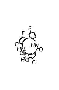 O=C1NCc2ccc(F)cc2-c2cc(c(F)cc2F)NS(=O)(=O)c2cc1cc(Cl)c2O